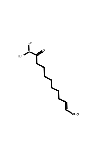 CCCCCCCCC=CCCCCCCCC(=O)N(C)CCC